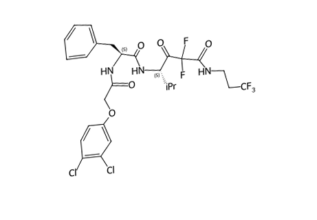 CC(C)[C@H](NC(=O)[C@H](Cc1ccccc1)NC(=O)COc1ccc(Cl)c(Cl)c1)C(=O)C(F)(F)C(=O)NCCC(F)(F)F